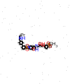 CC(C)CNCc1ccc(-c2cccc(S(=O)(=O)N3CCC4(CC3)CC(NCC(O)COc3cccc(S(C)(=O)=O)c3)CO4)c2)cc1